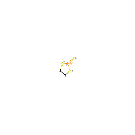 S=[PH]1SCCS1